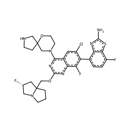 Nc1nc2c(-c3c(Cl)cc4c(N5CCOC6(CCNC6)C5)nc(OCC56CCCN5C[C@H](F)C6)nc4c3F)ccc(F)c2s1